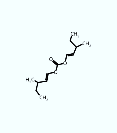 CCC(C)C=COC(=O)OC=CC(C)CC